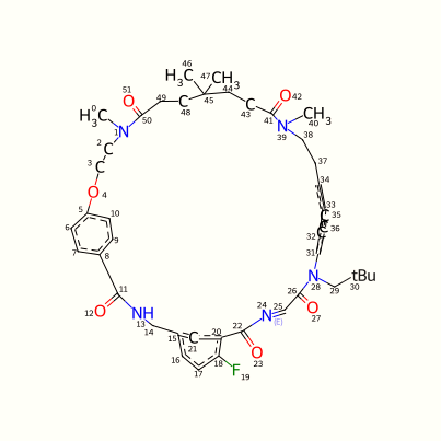 CN1CCOc2ccc(cc2)C(=O)NCc2ccc(F)c(c2)C(=O)/N=C/C(=O)N(CC(C)(C)C)c2ccc(cc2)CCN(C)C(=O)CCC(C)(C)CCC1=O